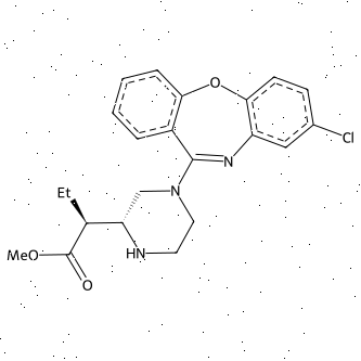 CC[C@H](C(=O)OC)[C@@H]1CN(C2=Nc3cc(Cl)ccc3Oc3ccccc32)CCN1